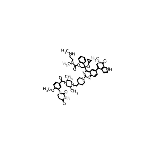 CNCCN(C)C(=O)OCC(OC1CC1)(c1ccccc1)c1nc(N2CCC(CN3C[C@@H](C)N(C(=O)c4ccc(OC)c(N5CCC(=O)NC5=O)c4)C[C@@H]3C)CC2)nc2ccc(-c3cn(C)c(=O)c4[nH]ccc34)cc12